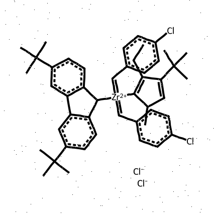 CCC1=[C]([Zr+2](=[CH]c2ccc(Cl)cc2)(=[CH]c2ccc(Cl)cc2)[CH]2c3ccc(C(C)(C)C)cc3-c3cc(C(C)(C)C)ccc32)C(C)C=C1C(C)(C)C.[Cl-].[Cl-]